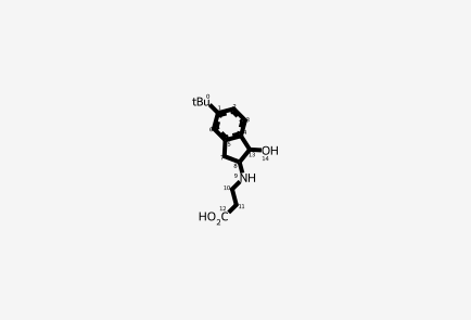 CC(C)(C)c1ccc2c(c1)CC(NCCC(=O)O)C2O